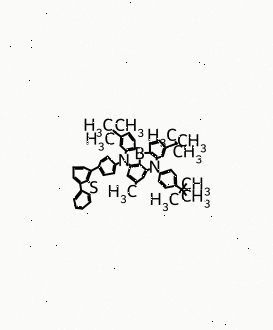 Cc1cc2c3c(c1)N(c1ccc(C(C)(C)C)cc1)c1cc(C(C)(C)C)ccc1B3c1ccc(C(C)(C)C)cc1N2c1ccc(-c2cccc3c2sc2ccccc23)cc1